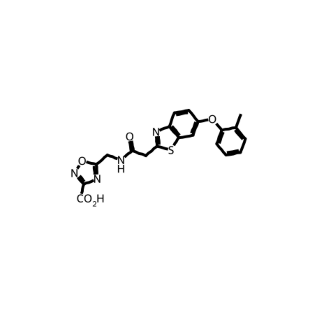 Cc1ccccc1Oc1ccc2nc(CC(=O)NCc3nc(C(=O)O)no3)sc2c1